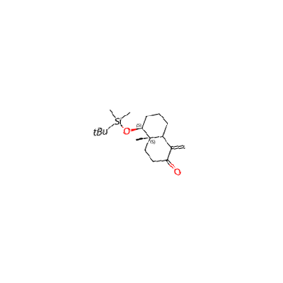 C=C1C(=O)CC[C@@]2(C)C1CCC[C@@H]2O[Si](C)(C)C(C)(C)C